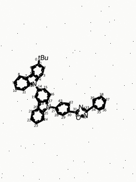 CC(C)(C)c1ccc2c(c1)c1ccccc1n2-c1ccc2c(c1)c1ccccc1n2-c1ccc(-c2nc(-c3ccccc3)no2)cc1